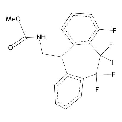 COC(=O)NCC1c2ccccc2C(F)(F)C(F)(F)c2c(F)cccc21